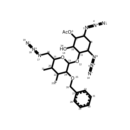 CC(=O)OC1C(N=[N+]=[N-])CC(N=[N+]=[N-])C(OC2OC(CN=[N+]=[N-])C(C)C(F)C2OCc2ccccc2)C1O